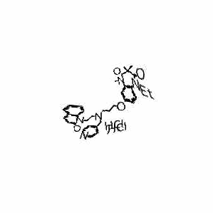 CCN1C(=O)C(C)(C)C(=O)N(C)c2cc(OCCCN(CCn3c(=O)ccc4ccccc43)Cc3ccncc3)ccc21.Cl.Cl